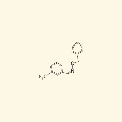 FC(F)(F)c1cccc(/[C]=N\OCc2ccccc2)c1